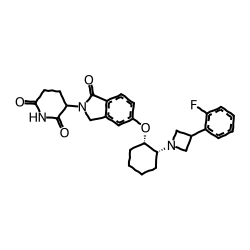 O=C1CCC(N2Cc3cc(O[C@H]4CCCC[C@H]4N4CC(c5ccccc5F)C4)ccc3C2=O)C(=O)N1